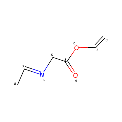 C=COC(=O)CN=CC